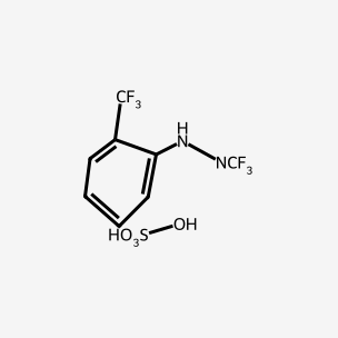 FC(F)(F)NNc1ccccc1C(F)(F)F.O=S(=O)(O)O